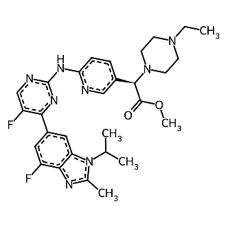 CCN1CCN([C@@H](C(=O)OC)c2ccc(Nc3ncc(F)c(-c4cc(F)c5nc(C)n(C(C)C)c5c4)n3)nc2)CC1